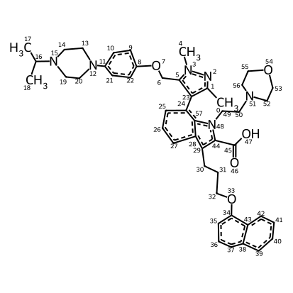 Cc1nn(C)c(COc2ccc(N3CCN(C(C)C)CC3)cc2)c1-c1cccc2c(CCCOc3cccc4ccccc34)c(C(=O)O)n(CCN3CCOCC3)c12